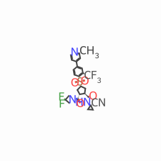 Cc1cc(-c2ccc(S(=O)(=O)[C@@H]3C[C@@H](C(=O)NC4(C#N)CC4)[C@H](C(=O)N4CC(F)(F)C4)C3)c(C(F)(F)F)c2)ccn1